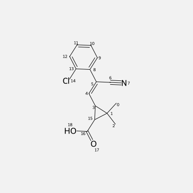 CC1(C)C(C=C(C#N)c2ccccc2Cl)C1C(=O)O